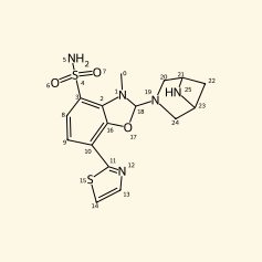 CN1c2c(S(N)(=O)=O)ccc(-c3nccs3)c2OC1N1CC2CC(C1)N2